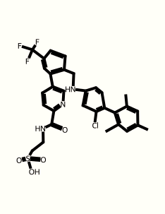 Cc1cc(C)c(-c2ccc(NCc3ccc(C(F)(F)F)cc3-c3ccc(C(=O)NCCS(=O)(=O)O)nc3)cc2Cl)c(C)c1